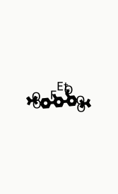 C=C(C)C(=O)Oc1ccc(-c2ccc(-c3ccc(OC(=O)C(=C)C)cc3COCC)cc2F)cc1